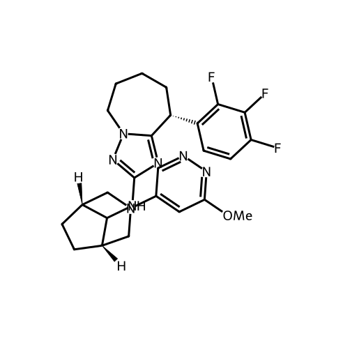 COc1cc(N2C[C@H]3CC[C@@H](C2)C3Nc2nc3n(n2)CCCC[C@@H]3c2ccc(F)c(F)c2F)cnn1